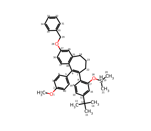 COc1ccc(C2=C(c3ccc(C(C)(C)C)cc3O[SiH](C)C)CCCc3cc(OCc4ccccc4)ccc32)cc1